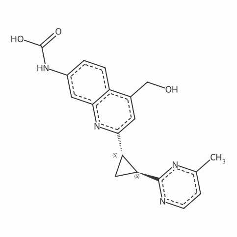 Cc1ccnc([C@H]2C[C@@H]2c2cc(CO)c3ccc(NC(=O)O)cc3n2)n1